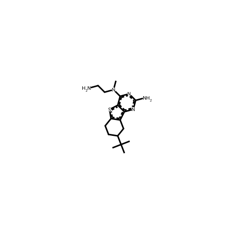 CN(CCN)c1nc(N)nc2c3c(sc12)CCC(C(C)(C)C)C3